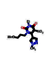 CCn1c(=O)c([N+](=O)[O-])c(-c2cnn(C)c2)n(CCCOC)c1=O